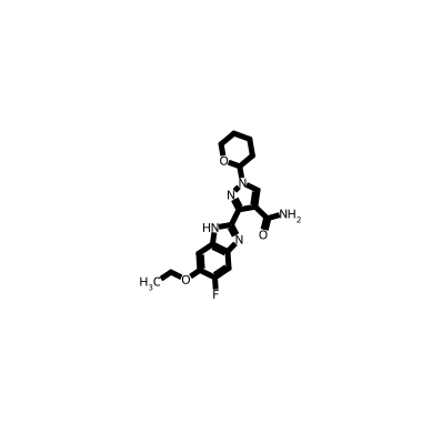 CCOc1cc2[nH]c(-c3nn(C4CCCCO4)cc3C(N)=O)nc2cc1F